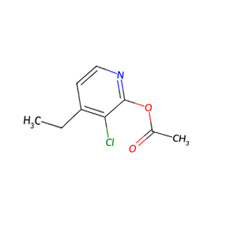 CCc1ccnc(OC(C)=O)c1Cl